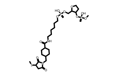 C=P(O)(OCCCCCCNC(=O)C1CCC(CN2C(=O)CC(SC)C2=O)CC1)OCC1OCCC1OP(=C)(O)OC